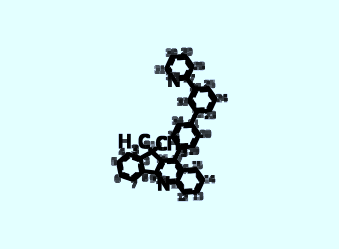 CC1(C)c2ccccc2-c2nc3ccccc3c(-c3ccc(-c4cccc(-c5ccccn5)c4)cc3)c21